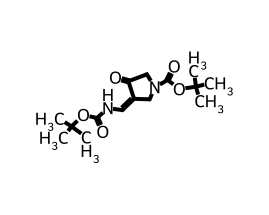 CC(C)(C)OC(=O)NC=C1CN(C(=O)OC(C)(C)C)CC1=O